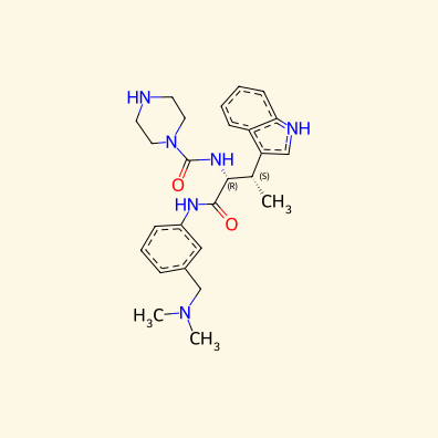 C[C@@H](c1c[nH]c2ccccc12)[C@@H](NC(=O)N1CCNCC1)C(=O)Nc1cccc(CN(C)C)c1